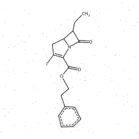 CCC1C(=O)N2C(C(=O)OCCc3ccccc3)=C(I)CC12